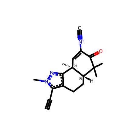 [C-]#[N+]C1=C[C@]2(C)c3nn(C)c(C#C)c3CC[C@H]2C(C)(C)C1=O